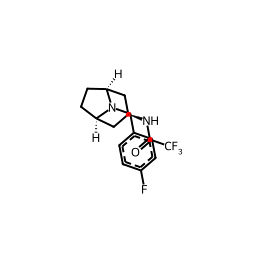 O=C(N[C@H]1C[C@H]2CC[C@@H](C1)N2Cc1ccc(F)cc1)C(F)(F)F